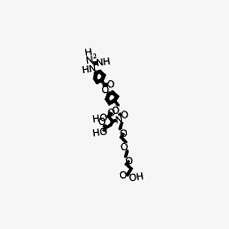 N=C(N)Nc1ccc(C(=O)Oc2ccc(COC(=O)N(CCOCCOCCOCCC(=O)O)C(CC(=O)O)C(=O)O)cc2)cc1